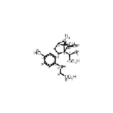 CC1(C)C2CCC1(C(Br)S(=O)(=O)O)C(=O)C2.O=C(O)CNc1ccc(O)cc1